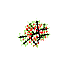 OC[C@@H](O)[C@@H](O)[C@@](O[C@@]([C@H](O)[C@H](O)CO)(C(F)(F)C(F)(F)C(F)(F)F)[C@](OC(F)(F)C(F)(F)C(F)(F)F)(C(F)(F)C(F)(F)C(F)(F)F)C(OC(F)(F)C(F)(F)C(F)(F)F)(C(F)(F)C(F)(F)C(F)(F)F)C(F)(F)C(F)(F)C(F)(F)F)(C(F)(F)C(F)(F)C(F)(F)F)[C@](OC(F)(F)C(F)(F)C(F)(F)F)(C(F)(F)C(F)(F)C(F)(F)F)C(OC(F)(F)C(F)(F)C(F)(F)F)(C(F)(F)C(F)(F)C(F)(F)F)C(F)(F)C(F)(F)C(F)(F)F